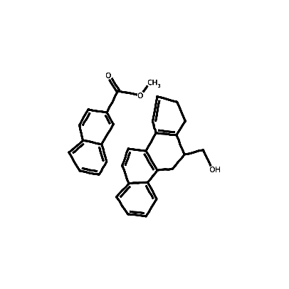 COC(=O)c1ccc2ccccc2c1.OCC1Cc2c(ccc3ccccc23)C2=C1CCC=C2